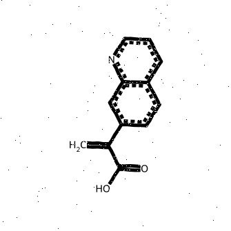 C=C(C(=O)O)c1ccc2cccnc2c1